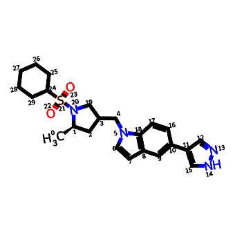 C[C@@H]1CC(Cn2ccc3cc(-c4cn[nH]c4)ccc32)CN1S(=O)(=O)C1CCCCC1